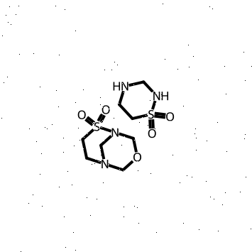 O=S1(=O)CCN2COCN1C2.O=S1(=O)CCNCN1